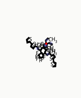 C/C=C\C=C(/C)C1(/C(C)=C/C=C\C)C(C)=C(/C=C(\C)c2ccc(-c3cccs3)s2)C2=C(C(/C=C(\C)c3ccc(-c4cccs4)s3)=C1C)C(F)(F)C(F)(F)C2(F)F